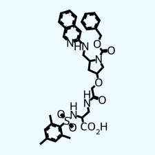 Cc1cc(C)c(S(=O)(=O)NC(CNC(=O)COC2CC(CNc3cc4ccccc4cn3)N(C(=O)OCc3ccccc3)C2)C(=O)O)c(C)c1